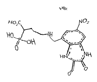 Br.O=C(O)C(CCNCc1cc([N+](=O)[O-])cc2[nH]c(=O)c(=O)[nH]c12)P(=O)(O)O